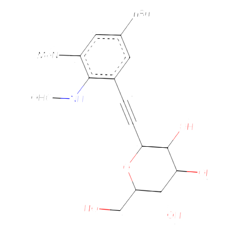 CCCCc1cc(C#CC2OC(CO)[C@@H](O)C(O)C2O)c(NC=O)c(NC)c1